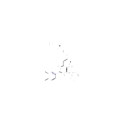 C=C/C=C\C(=C/C=C)c1nc(N2CCOCC2)c2ncc(C(C)COC(C)(C)O)cc2n1